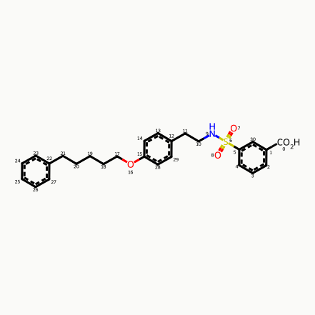 O=C(O)c1cccc(S(=O)(=O)NCCc2ccc(OCCCCCc3ccccc3)cc2)c1